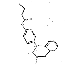 CCOC(=O)Cc1ccc([C@H]2CN(C)Cc3ccccc32)cc1